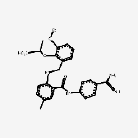 CCOc1cccc(CNc2ccc(C)cc2C(=O)Nc2ccc(C(=N)N)cc2)c1OC(C)C(=O)O